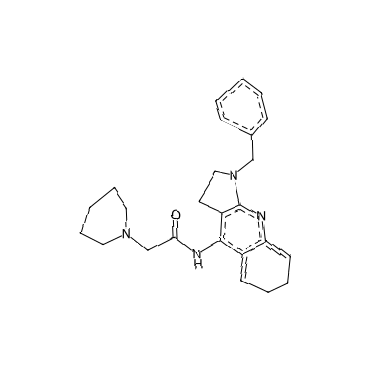 O=C(CN1CCCCC1)Nc1c2c(nc3c1=CCCC=3)N(Cc1ccccc1)CC2